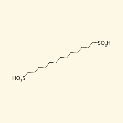 O=S(=O)(O)CCCCCCCCCCCCCS(=O)(=O)O